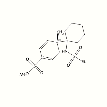 CCS(=O)(=O)NC1([C@@]2(C)C=CC(S(=O)(=O)OC)=CC2)CCCCC1